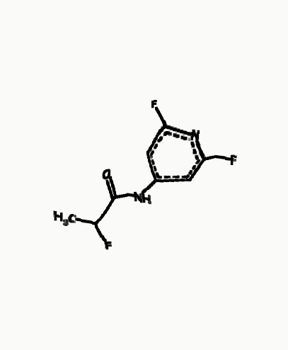 CC(F)C(=O)Nc1cc(F)nc(F)c1